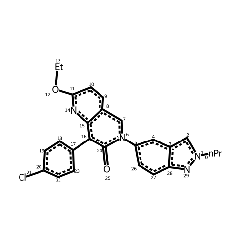 CCCn1cc2cc(-n3cc4ccc(OCC)nc4c(-c4ccc(Cl)cc4)c3=O)ccc2n1